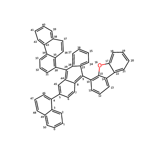 c1ccc2c(-c3ccc4c(-c5cccc6c5oc5ccccc56)c5ccccc5c(-c5cccc6c5ccc5ccccc56)c4c3)cccc2c1